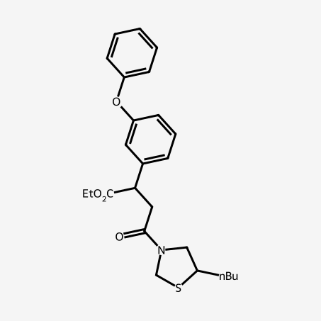 CCCCC1CN(C(=O)CC(C(=O)OCC)c2cccc(Oc3ccccc3)c2)CS1